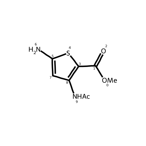 COC(=O)c1sc(N)cc1NC(C)=O